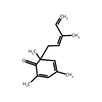 C=CC(C)=CCC1(C)C=C(C)C=C(C)C1=O